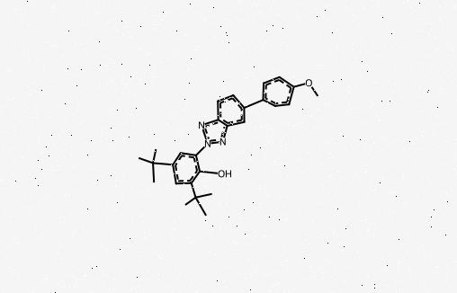 COc1ccc(-c2ccc3nn(-c4cc(C(C)(C)C)cc(C(C)(C)C)c4O)nc3c2)cc1